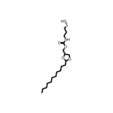 CCCCCCCCCCCC1OCC(COC(=O)NCCCSO)O1